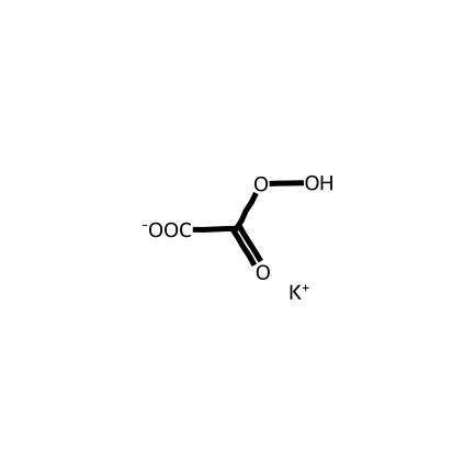 O=C([O-])C(=O)OO.[K+]